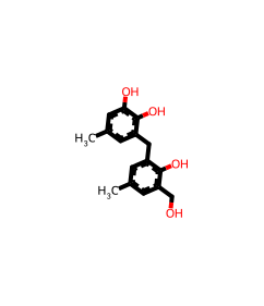 Cc1cc(O)c(O)c(Cc2cc(C)cc(CO)c2O)c1